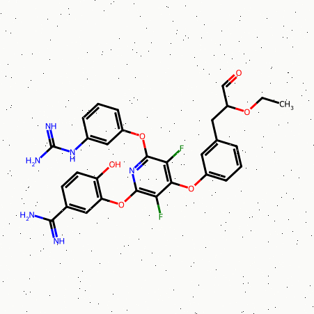 CCOC(C=O)Cc1cccc(Oc2c(F)c(Oc3cccc(NC(=N)N)c3)nc(Oc3cc(C(=N)N)ccc3O)c2F)c1